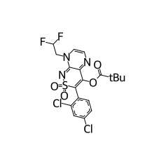 CC(C)(C)C(=O)OC1=C(c2ccc(Cl)cc2Cl)S(=O)(=O)N=C2C1=NC=CN2CC(F)F